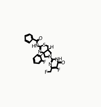 O=C(NC1=N[C@@]2(c3ccccc3F)CN(c3nc(CF)c(F)c(=O)[nH]3)C[C@H]2CS1)c1ccccc1